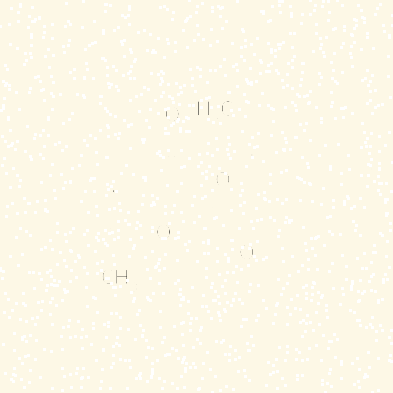 CC1CCCCC1(O[C]=O)C(=O)OC1(C)CCCCC1